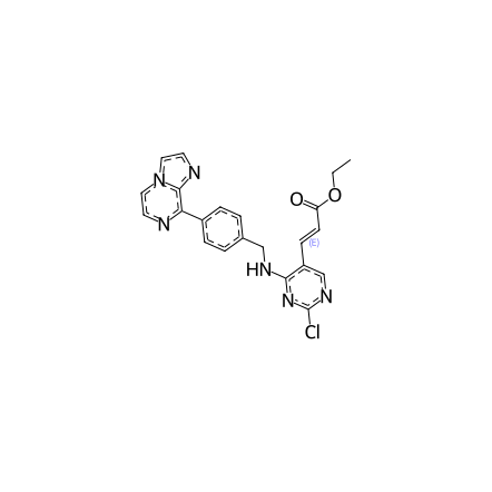 CCOC(=O)/C=C/c1cnc(Cl)nc1NCc1ccc(-c2nccn3ccnc23)cc1